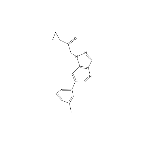 Cc1cccc(-c2cnc3cnn(CC(=O)C4CC4)c3c2)c1